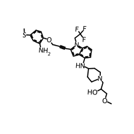 COCC(O)CN1CCC(Nc2cccc3c2cc(C#CCOc2ccc(SC)cc2N)n3CC(F)(F)F)CC1